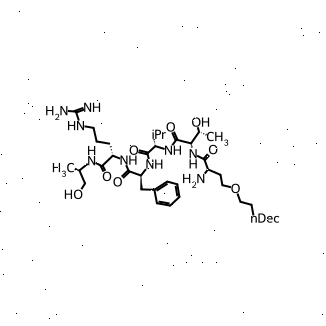 CCCCCCCCCCCCOCCC(N)C(=O)N[C@H](C(=O)N[C@H](C(=O)N[C@@H](Cc1ccccc1)C(=O)N[C@@H](CCCNC(=N)N)C(=O)N[C@H](C)CO)C(C)C)[C@@H](C)O